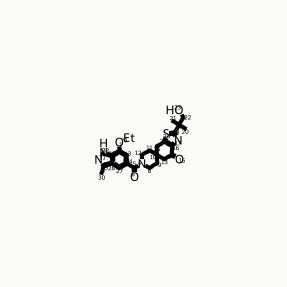 CCOc1cc(C(=O)N2CCC3(CC2)CC(=O)c2nc(C(C)(C)CO)sc2C3)cc2c(C)n[nH]c12